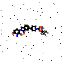 CC(C)(C)OC(=O)N1CC=C(c2ccc3c(c2)C(=O)N([C@H]2CCC(=O)NC2=O)C3)CC1